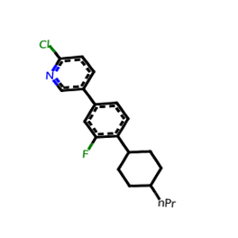 CCCC1CCC(c2ccc(-c3ccc(Cl)nc3)cc2F)CC1